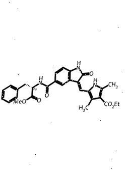 CCOC(=O)c1c(C)[nH]c(C=C2C(=O)Nc3ccc(C(=O)N[C@@H](Cc4ccccc4)C(=O)OC)cc32)c1C